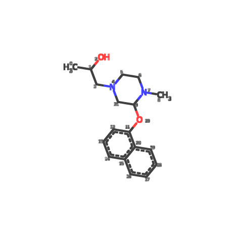 CC(O)CN1CCN(C)C(Oc2cccc3ccccc23)C1